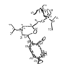 CC(C)N1CC(COP(=O)(C(C)C)N(C)C)OC(n2ccc(=O)[nH]c2=O)C1